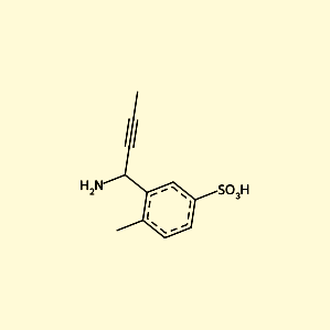 CC#CC(N)c1cc(S(=O)(=O)O)ccc1C